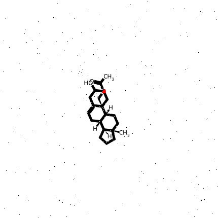 CC(=O)OC[C@]12CCC(O)CC1=CC[C@@H]1[C@H]2CC[C@]2(C)CCC[C@@H]12